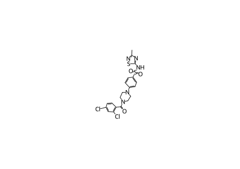 Cc1nsc(NS(=O)(=O)c2ccc(N3CCN(C(=O)c4ccc(Cl)cc4Cl)CC3)cc2)n1